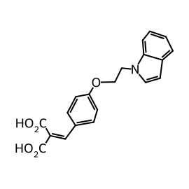 O=C(O)C(=Cc1ccc(OCCn2ccc3ccccc32)cc1)C(=O)O